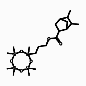 CC1C2CC(C(=O)OCCC[Si]3(C)O[Si](C)(C)O[Si](C)(C)O[Si](C)(C)O3)C(C2)C1C